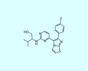 CC(C)C(CO)Nc1nccc(-c2c(-c3ccc(F)cc3)nc3sccn23)n1